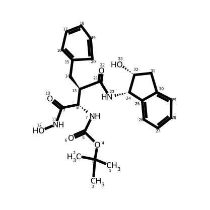 CC(C)(C)OC(=O)N[C@H](C(=O)NO)[C@@H](Cc1ccccc1)C(=O)N[C@H]1c2ccccc2C[C@H]1O